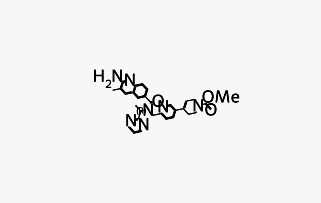 COC(=O)N1CC=C(c2ccc(CN(C(=O)c3ccc4nc(N)c(C)cc4c3)[C@H](C)c3ncccn3)nc2)CC1